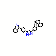 C1=CC(c2cccc3c2[C@H]2C=C2C=C3)CC=C1c1cc(-c2ccc(-c3cncc4ccccc34)cc2)ncn1